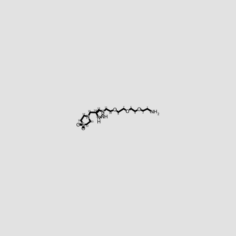 NCCOCCOCCOCCN1C=C(CN2CCS(=O)(=O)CC2)NN1